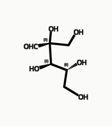 O=C[C@@](O)(CO)[C@H](O)[C@H](O)CO